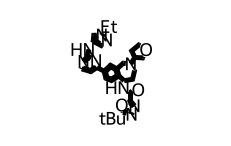 CCn1cc(Nc2nccc(-c3ccc4c(c3)CN(C3CCOC3)CCC4NC(=O)c3nnc(C(C)(C)C)o3)n2)cn1